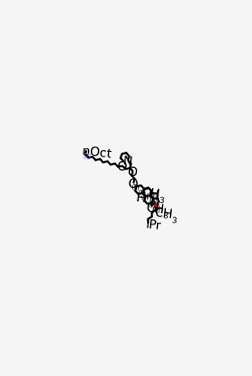 CCCCCCCC/C=C\CCCCCCCCOCC(CN1CCCCC1)OCCO[C@H]1CC[C@@]2(C)C(=CC[C@H]3[C@@H]4CC[C@H]([C@H](C)CCCC(C)C)[C@@]4(C)CC[C@@H]32)C1